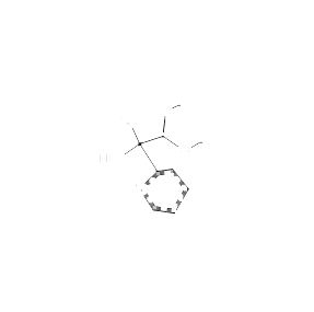 CCOC(OCC)C(C)([SiH3])c1ccccn1